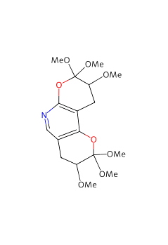 COC1Cc2c(ncc3c2OC(OC)(OC)C(OC)C3)OC1(OC)OC